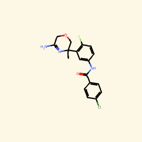 CC1(c2cc(NC(=O)c3ccc(Cl)cc3)ccc2F)COCC(N)=N1